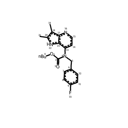 CCCCOC(=O)N(Cc1ccc(F)cc1)c1ccnc2c(C)c(C)[nH]c12